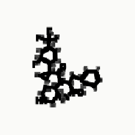 NC(=O)[C@H](Cc1ccccc1)N(C(=O)C1(c2ccc(C(F)(F)F)cc2F)CC1)C1CCNCC1